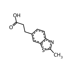 Cc1nc2ccc(CCC(=O)O)cc2s1